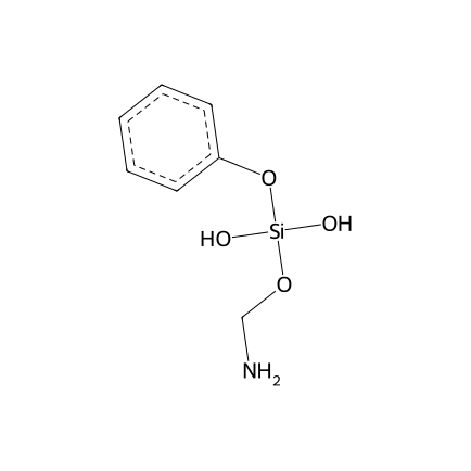 NCO[Si](O)(O)Oc1ccccc1